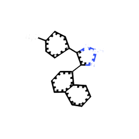 Cc1ccc(-c2n[nH]nc2-c2cccc3ccccc23)cc1